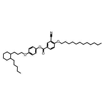 CCCCCCCCCCCCOc1ccc(C(=O)Oc2ccc(OCCCC3CCCCC3CCCCC)cc2)cc1C#N